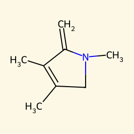 C=C1C(C)=C(C)CN1C